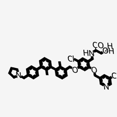 Cc1c(COc2cc(OCc3cncc(C#N)c3)c(CN[C@@H](CO)C(=O)O)cc2Cl)cccc1-c1cccc(-c2ccc(CN3CCCC3)cc2)c1C